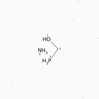 N.OCP